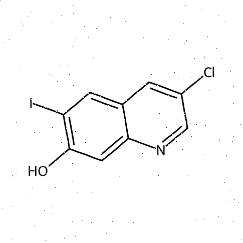 Oc1cc2ncc(Cl)cc2cc1I